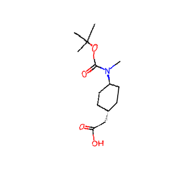 CN(C(=O)OC(C)(C)C)[C@H]1CC[C@H](CC(=O)O)CC1